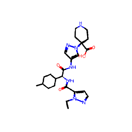 CCn1nccc1C(=O)N[C@H](C(=O)Nc1cnn(C2(C(=O)O)CCNCC2)c1)C1CCC(C)CC1